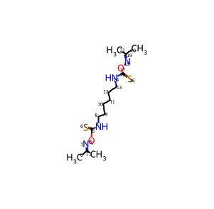 CC(C)=NOC(=S)NCCCCCCNC(=S)ON=C(C)C